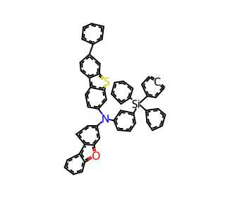 c1ccc(-c2ccc3c(c2)sc2cc(N(c4cccc([Si](c5ccccc5)(c5ccccc5)c5ccccc5)c4)c4ccc5c(c4)oc4ccccc45)ccc23)cc1